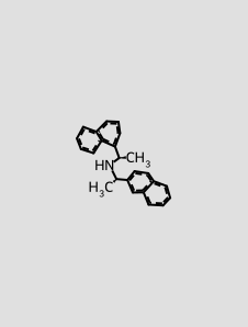 C[C@@H](N[C@H](C)c1cccc2ccccc12)c1ccc2ccccc2c1